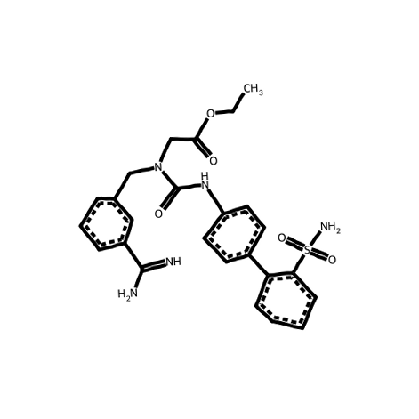 CCOC(=O)CN(Cc1cccc(C(=N)N)c1)C(=O)Nc1ccc(-c2ccccc2S(N)(=O)=O)cc1